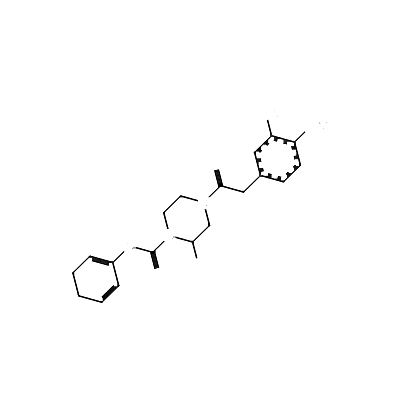 COc1ccc(CC(=O)N2CCN(C(=O)NC3=CCCC=C3)C(C(C)C)C2)cc1OC